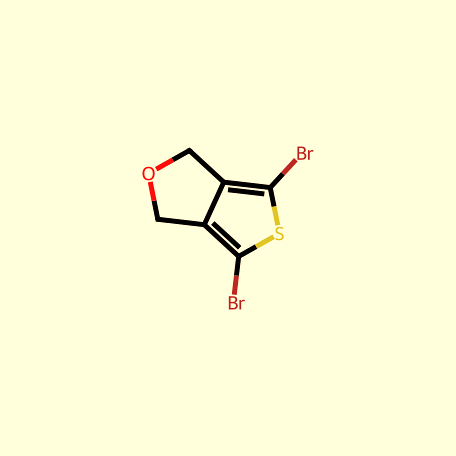 Brc1sc(Br)c2c1COC2